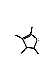 CC1=C(C)C(C)C(C)O1